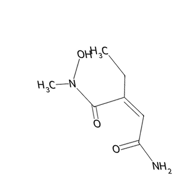 CCC(=CC(N)=O)C(=O)N(C)O